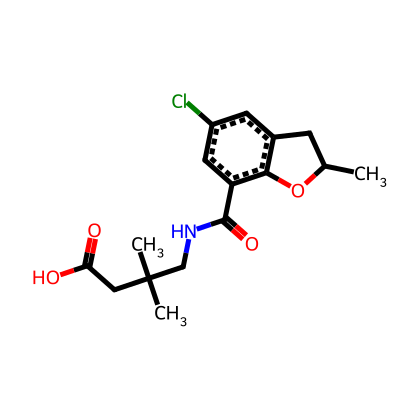 CC1Cc2cc(Cl)cc(C(=O)NCC(C)(C)CC(=O)O)c2O1